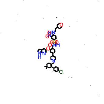 CC1(C)CCC(CN2CC=C(c3ccc(C(=O)NS(=O)(=O)c4ccc(NCCC5CCOCC5)c([N+](=O)[O-])c4)c(Oc4cnc5[nH]ccc5c4)c3)CC2)=C(c2ccc(Cl)cc2)C1